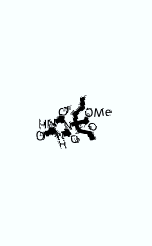 C=CCC(CC=C)(C(=O)OC)n1c(=O)[nH]c(=O)[nH]c1=O